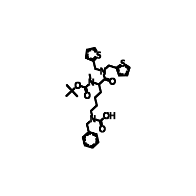 CN(C(=O)OC(C)(C)C)C(CCCCN(Cc1ccccc1)C(=O)O)C(=O)N(Cc1cccs1)Cc1cccs1